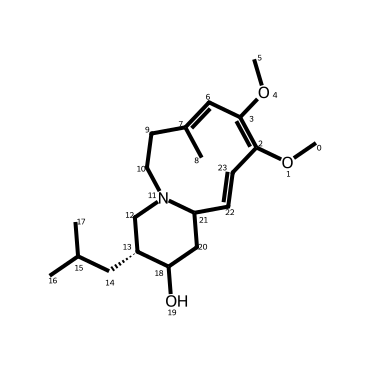 COC1=C(OC)/C=C(\C)CCN2C[C@@H](CC(C)C)C(O)CC2\C=C\1